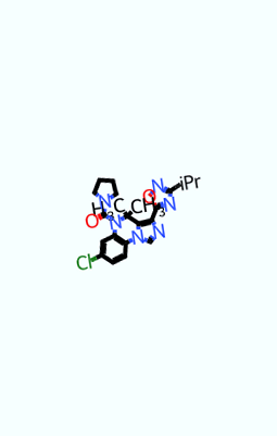 CC(C)c1noc(-c2ncn3c2C(C)(C)N(C(=O)N2CCCC2)c2cc(Cl)ccc2-3)n1